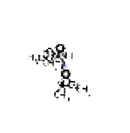 CCOC(=O)C1CN(C)CC1c1ccc(/C=C/C(=O)Nc2ccccc2NC(=O)OC(C)(C)C)cc1